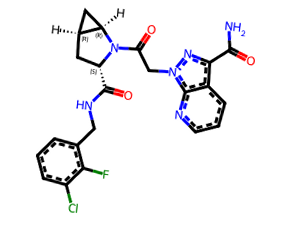 NC(=O)c1nn(CC(=O)N2[C@@H]3C[C@@H]3C[C@H]2C(=O)NCc2cccc(Cl)c2F)c2ncccc12